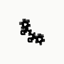 ClP(CCCP(Cl)c1ccccc1)c1ccccc1